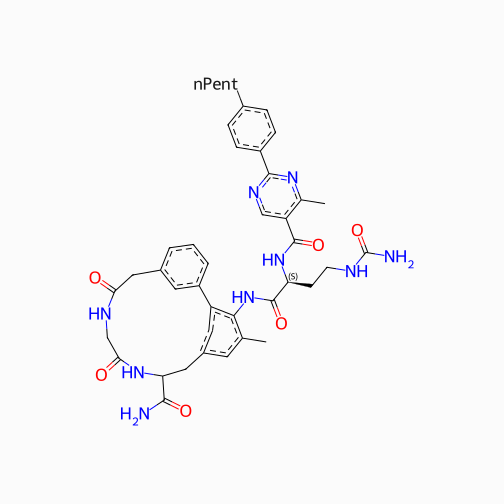 CCCCCc1ccc(-c2ncc(C(=O)N[C@@H](CCNC(N)=O)C(=O)Nc3c(C)cc4cc3-c3cccc(c3)CC(=O)NCC(=O)NC(C(N)=O)C4)c(C)n2)cc1